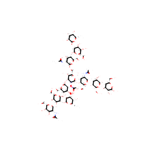 CC(=O)N[C@H]1[C@H](O[C@H]2[C@@H](O)[C@@H](CO)O[C@@H](O[C@H]3[C@H](O)[C@@H](O)[C@H](O)O[C@@H]3CO)[C@@H]2O)O[C@H](CO)[C@@H](O[C@@H]2O[C@H](CO[C@@H]3O[C@H](CO)[C@@H](O[C@@H]4O[C@H](CO)[C@H](O)[C@H](O)[C@H]4O[C@@H]4O[C@@H](C)[C@@H](O)[C@@H](O)[C@@H]4O)[C@H](O)[C@H]3NC(C)=O)[C@H](O)[C@H](O[C@@H]3O[C@H](CO)[C@@H](O[C@@H]4O[C@H](CO)[C@H](O)[C@H](O[C@H]5O[C@H](CO)[C@H](O)[C@H](O)[C@H]5NC(C)=O)[C@H]4O[C@@H]4O[C@@H](C)[C@@H](O)[C@@H](O)[C@@H]4O)[C@H](O)[C@H]3NC(C)=O)[C@H]2O)[C@@H]1O